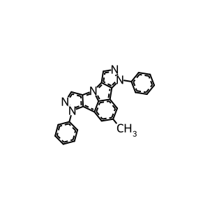 Cc1cc2c3c(cnn3-c3ccccc3)n3c4cnn(-c5ccccc5)c4c(c1)c23